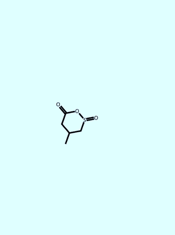 CC1CC(=O)OS(=O)C1